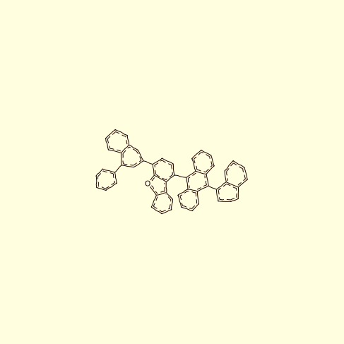 c1ccc(-c2cc(-c3ccc(-c4c5ccccc5c(-c5cccc6ccccc56)c5ccccc45)c4c3oc3ccccc34)cc3ccccc23)cc1